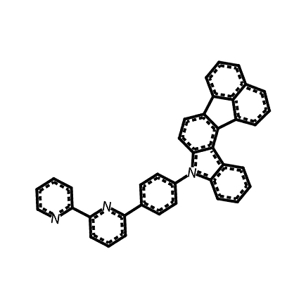 c1ccc(-c2cccc(-c3ccc(-n4c5ccccc5c5c6c(ccc54)-c4cccc5cccc-6c45)cc3)n2)nc1